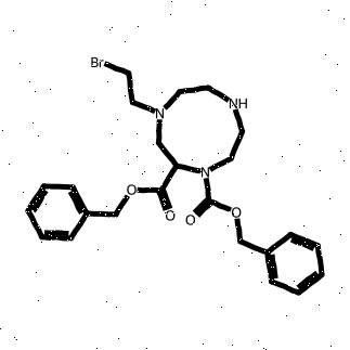 O=C(OCc1ccccc1)C1CN(CCBr)CCNCCN1C(=O)OCc1ccccc1